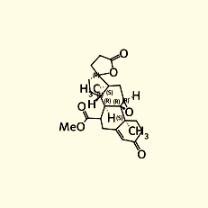 COC(=O)C1CC2=CC(=O)CC[C@]2(C)[C@@]23O[C@@H]2C[C@@]2(C)[C@@H](CC[C@@]24CCC(=O)O4)[C@H]13